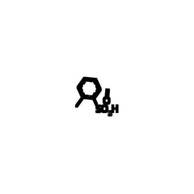 C=O.Cc1ccccc1S(=O)(=O)O